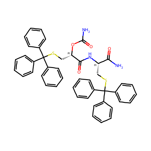 NC(=O)O[C@@H](CSC(c1ccccc1)(c1ccccc1)c1ccccc1)C(=O)N[C@@H](CSC(c1ccccc1)(c1ccccc1)c1ccccc1)C(N)=O